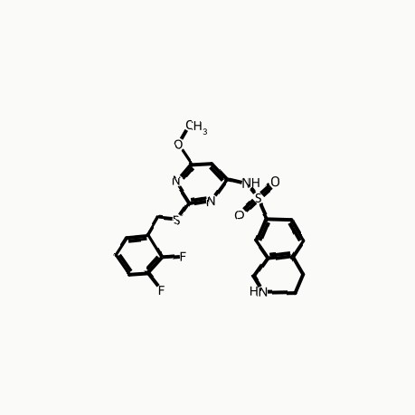 COc1cc(NS(=O)(=O)c2ccc3c(c2)CNCC3)nc(SCc2cccc(F)c2F)n1